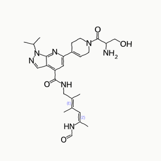 C/C(=C/C(C)=C(\C)CNC(=O)c1cc(C2=CCN(C(=O)C(N)CO)CC2)nc2c1cnn2C(C)C)NC=O